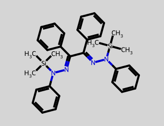 C[Si](C)(C)N(/N=C(/C(=N/N(c1ccccc1)[Si](C)(C)C)c1ccccc1)c1ccccc1)c1ccccc1